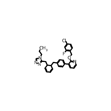 CCCn1cnnc1CC1C=CC=CC1Cc1ccc(-c2cccnc2OCc2ccc(Cl)cc2F)cc1